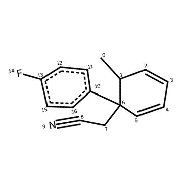 CC1C=CC=CC1(CC#N)c1ccc(F)cc1